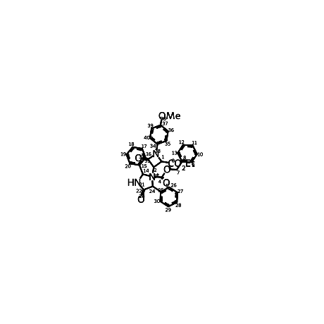 CCOC(=O)C1C([N+]2(C(=O)OCc3ccccc3)C(c3ccccc3)NC(=O)C2c2ccccc2)C(=O)N1c1ccc(OC)cc1